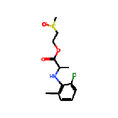 Cc1cccc(Cl)c1NC(C)C(=O)OCC[S+](C)[O-]